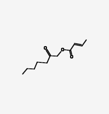 C/C=C/C(=O)OCC(=O)CCCCC